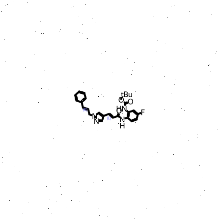 CC(C)(C)OC(=O)Nc1cc(F)ccc1NC(=O)/C=C/c1cnn(C/C=C/c2ccccc2)c1